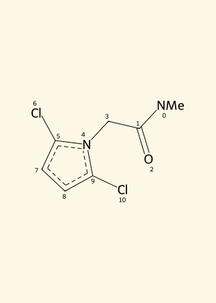 CNC(=O)Cn1c(Cl)ccc1Cl